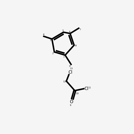 Cc1cc(C)cc(C)c1.O=C(Cl)CCl